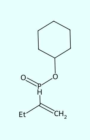 C=C(CC)[PH](=O)OC1CCCCC1